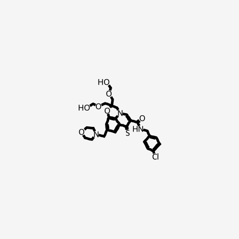 O=C(NCc1ccc(Cl)cc1)c1cn2c3c(cc(CN4CCOCC4)cc3c1=S)OC(COCO)(COCO)C2